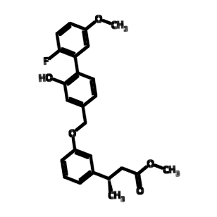 COC(=O)C[C@@H](C)c1cccc(OCc2ccc(-c3cc(OC)ccc3F)c(O)c2)c1